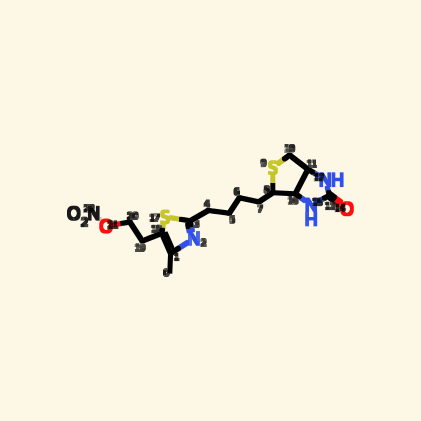 Cc1nc(CCCCC2SCC3NC(=O)NC32)sc1CCO[N+](=O)[O-]